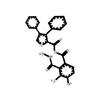 NNC(=O)c1c(C(=O)OC(=O)c2occ(-c3ccccc3)c2-c2ccccc2)ccc(O)c1C(F)(F)F